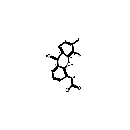 Cc1ccc2c(=O)c3cccc(CC(=O)Cl)c3oc2c1C